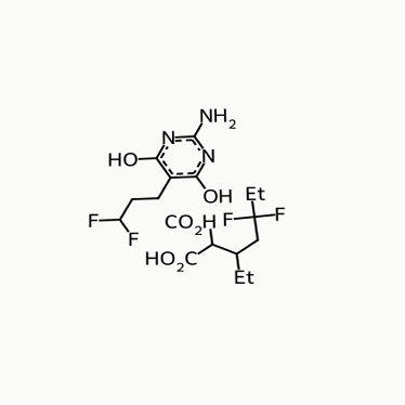 CCC(CC(F)(F)CC)C(C(=O)O)C(=O)O.Nc1nc(O)c(CCC(F)F)c(O)n1